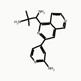 CC(C)(N)C(N)c1nc(-c2ccnc(N)c2)cc2cnccc12